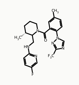 Cc1ccc(-n2cnc(C(F)(F)F)n2)c(C(=O)N2CCC[C@@H](C)C2CNc2ccc(F)cn2)c1